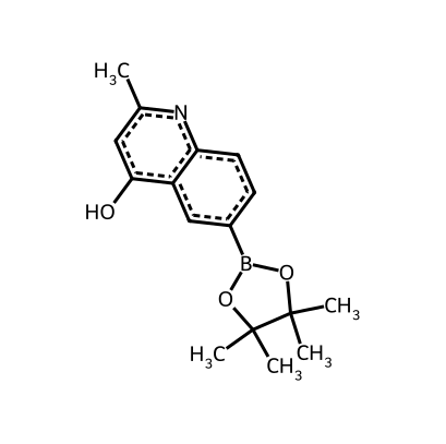 Cc1cc(O)c2cc(B3OC(C)(C)C(C)(C)O3)ccc2n1